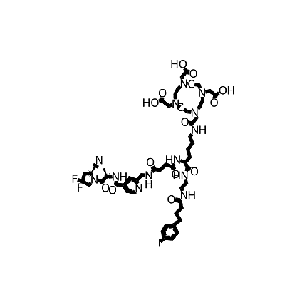 C[C@@H](NC(=O)c1ccnc(CNC(=O)CCC(=O)NC(CCCCNC(=O)CN2CCN(CC(=O)O)CCN(CC(=O)O)CCN(CC(=O)O)CC2)C(=O)NCCNC(=O)CCCc2ccc(I)cc2)c1)C(=O)N1CC(F)(F)C[C@H]1C#N